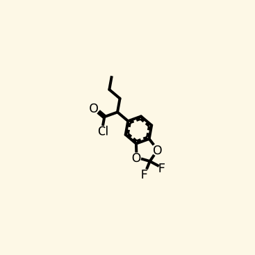 CCCC(C(=O)Cl)c1ccc2c(c1)OC(F)(F)O2